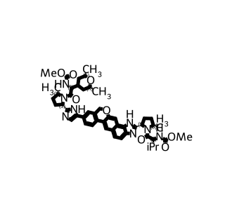 COC(=O)N[C@H](C(=O)N1[C@@H](C)CC[C@H]1c1nc2ccc3cc4c(cc3c2[nH]1)OCc1cc(-c2cnc([C@@H]3CC[C@H](C)N3C(=O)[C@H](NC(=O)OC)C3C[C@@H](C)O[C@@H](C)C3)[nH]2)ccc1-4)C(C)C